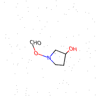 O=CON1CCC(O)C1